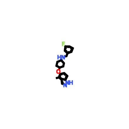 Cc1c(OC2CCC(NCc3cccc(F)c3)CC2)ccc2[nH]ncc12